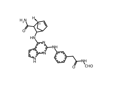 NC(=O)C1C(Nc2nc(Nc3cccc(CC(=O)NC=O)c3)nc3[nH]ccc23)C2C=C[C@@H]1C2